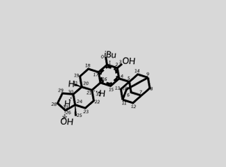 CCC(C)c1c(O)c(C23CC4CC(CC(C4)C2)C3)cc2c1CC[C@@H]1[C@@H]2CC[C@]2(C)[C@H](O)CC[C@@H]12